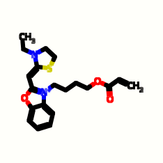 C=CC(=O)OCCCC[n+]1c(C=C2SCCN2CC)oc2ccccc21